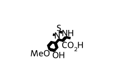 COc1ccc(C2C(C(=O)O)=C(C)NC(=S)N2C)cc1O